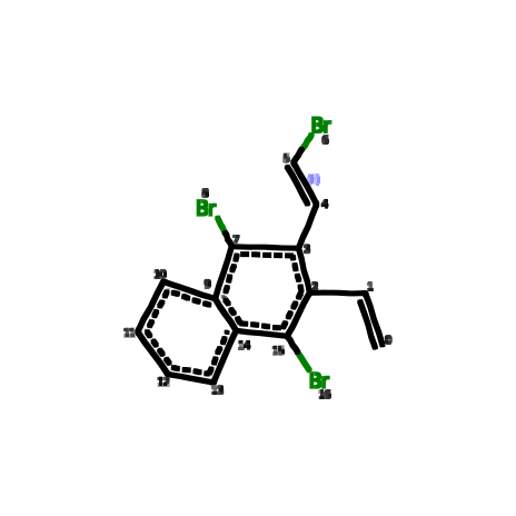 C=Cc1c(/C=C/Br)c(Br)c2ccccc2c1Br